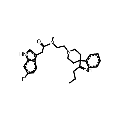 CCCC(=N)C1(c2ccccc2)CCN(CCN(C)C(=O)Cc2c[nH]c3cc(F)ccc23)CC1